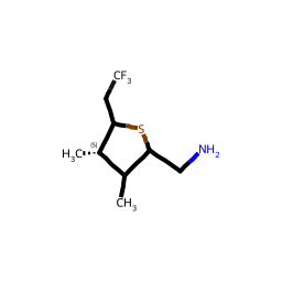 CC1C(CN)SC(CC(F)(F)F)[C@H]1C